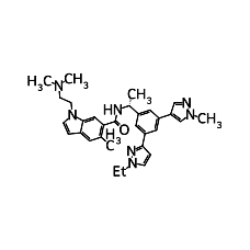 CCn1ccc(-c2cc(-c3cnn(C)c3)cc([C@@H](C)NC(=O)c3cc4c(ccn4CCN(C)C)cc3C)c2)n1